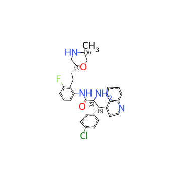 C[C@@H]1CO[C@H](CCc2c(F)cccc2NC(=O)[C@@H](N)[C@@H](c2ccc(Cl)cc2)c2ccnc3ccccc23)CN1